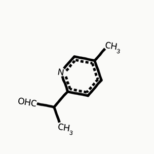 Cc1ccc(C(C)C=O)nc1